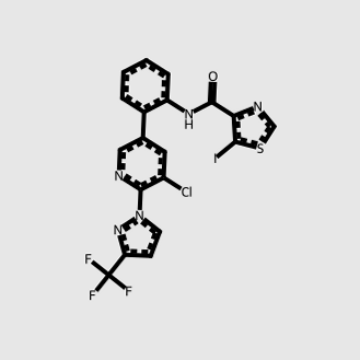 O=C(Nc1ccccc1-c1cnc(-n2ccc(C(F)(F)F)n2)c(Cl)c1)c1ncsc1I